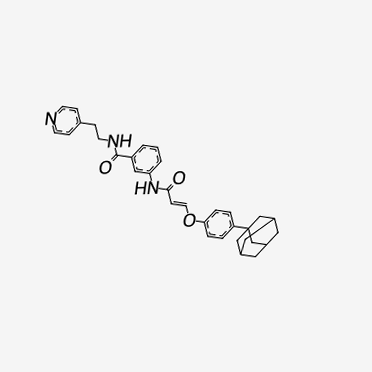 O=C(C=COc1ccc(C23CC4CC(CC(C4)C2)C3)cc1)Nc1cccc(C(=O)NCCc2ccncc2)c1